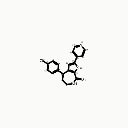 O=C1NCCC(c2ccc(Cl)cc2)c2cc(-c3ccncc3)sc21